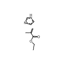 C=C(C)C(=O)OCC.c1c[nH]cn1